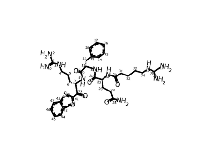 N=C(N)NCCC[C@H](NC(=O)[C@H](Cc1ccccc1)NC(=O)[C@H](CCC(N)=O)NC(=O)CCCCNC(N)N)C(=O)c1nc2ccccc2s1